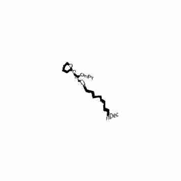 CCCCCCCCCCCCCCCCCCOC[C@H](COC1CCCCO1)OCCC